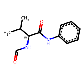 CC(C)[C@H](NC=O)C(=O)Nc1ccccc1